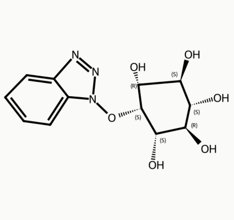 O[C@@H]1[C@@H](O)[C@H](O)[C@H](On2nnc3ccccc32)[C@H](O)[C@H]1O